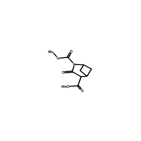 COC(=O)C1C(=O)N(C(=O)OC(C)(C)C)C2CC1C2